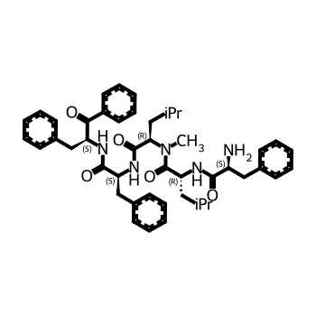 CC(C)C[C@H](C(=O)N[C@@H](Cc1ccccc1)C(=O)N[C@@H](Cc1ccccc1)C(=O)c1ccccc1)N(C)C(=O)[C@@H](CC(C)C)NC(=O)[C@@H](N)Cc1ccccc1